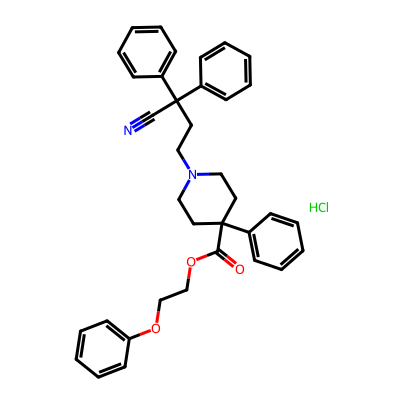 Cl.N#CC(CCN1CCC(C(=O)OCCOc2ccccc2)(c2ccccc2)CC1)(c1ccccc1)c1ccccc1